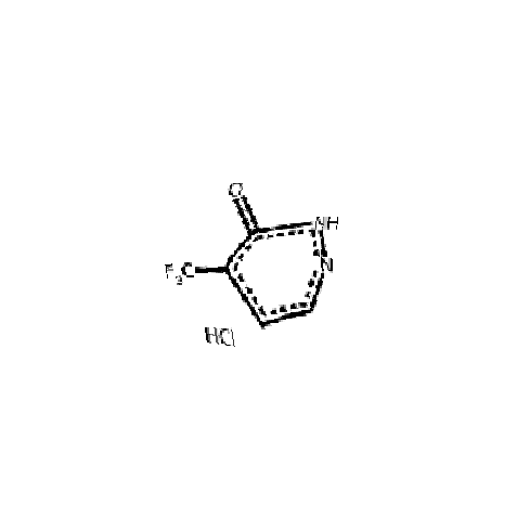 Cl.O=c1[nH]nccc1C(F)(F)F